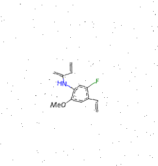 C=CC(=C)Nc1cc(F)c(C=C)cc1OC